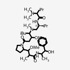 CCC(C)C(C(CC(=O)N1CCCC1C(OC)C(C)C(=O)NC(C)C(O)c1ccccc1)OC)N(C)C[C@@H](NC(=O)C(C(C)C)N(C)C)C(C)C